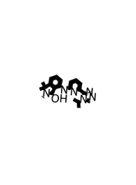 CC(C)n1cnnc1-c1cccc(Nc2cccc3c2C(=O)N(C)C3(C)C)n1